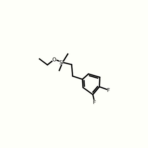 CCO[Si](C)(C)CCc1ccc(F)c(F)c1